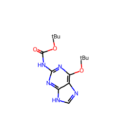 CC(C)(C)OC(=O)Nc1nc(OC(C)(C)C)c2nc[nH]c2n1